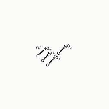 O=[N+]([O-])[O-].O=[N+]([O-])[O-].O=[N+]([O-])[O-].O=[N+]([O-])[O-].[Tc+4]